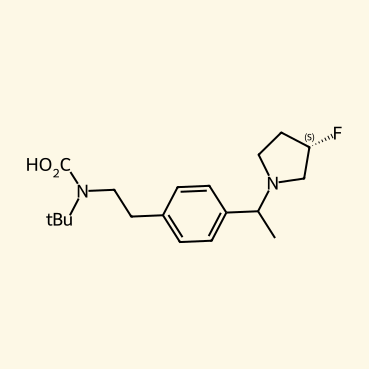 CC(c1ccc(CCN(C(=O)O)C(C)(C)C)cc1)N1CC[C@H](F)C1